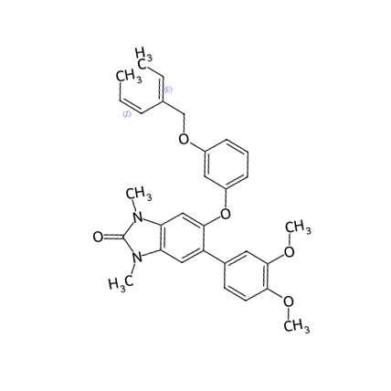 C/C=C\C(=C/C)COc1cccc(Oc2cc3c(cc2-c2ccc(OC)c(OC)c2)n(C)c(=O)n3C)c1